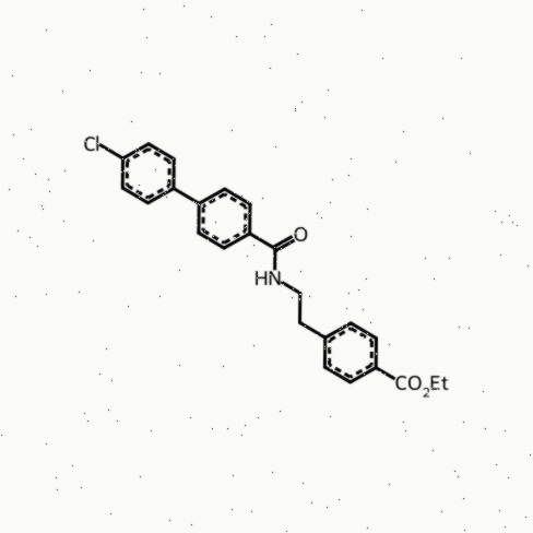 CCOC(=O)c1ccc(CCNC(=O)c2ccc(-c3ccc(Cl)cc3)cc2)cc1